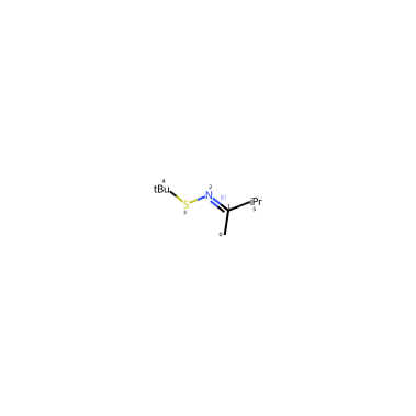 C/C(=N\SC(C)(C)C)C(C)C